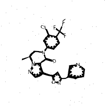 C[C@H]1CN(c2ccc(C(F)(F)F)c(Cl)c2)C(=O)c2c(-c3cc(-c4cccnc4)no3)cnn21